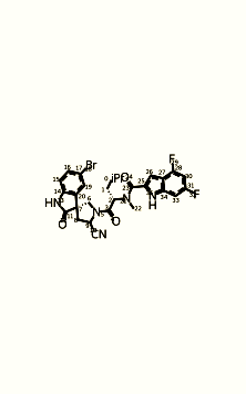 CC(C)C[C@@H](C(=O)N1C[C@]2(CC1C#N)C(=O)Nc1ccc(Br)cc12)N(C)C(=O)c1cc2c(F)cc(F)cc2[nH]1